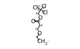 [CH2]COCCC(=O)OCC(Cl)(Cl)Cl